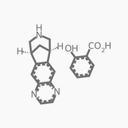 O=C(O)c1ccccc1O.c1cnc2cc3c(cc2n1)[C@@H]1CNC[C@H]3C1